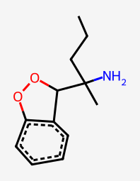 CCCC(C)(N)C1OOc2ccccc21